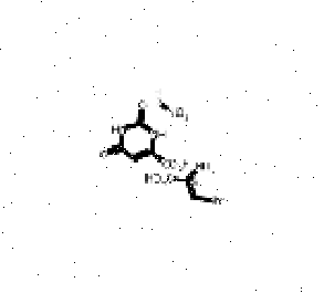 CC(C)C[C@H](N)C(=O)O.O=C(O)c1cc(=O)[nH]c(=O)[nH]1.O=[N+]([O-])O